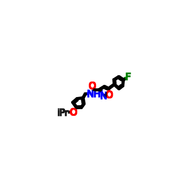 CC(C)Oc1ccc(CNC(=O)c2cc(-c3ccc(F)cc3)on2)cc1